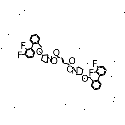 O=C(/C=C/C(=O)ON1CC[C@@H](OCc2ccccc2-c2cccc(F)c2F)C1)ON1CC[C@@H](OCc2ccccc2-c2cccc(F)c2F)C1